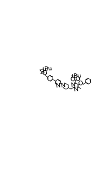 Cc1nc(CC2CCN(c3ccc(-c4ccc(CO[Si](C)(C)C(C)(C)C)cc4)cn3)CC2)nc(C(=O)OC(C)(C)C)c1OCc1ccccc1